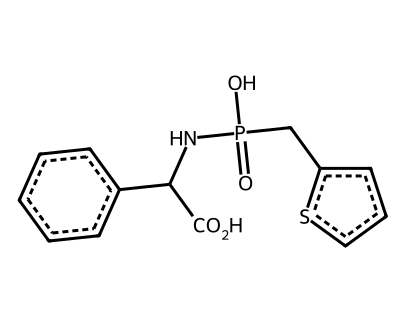 O=C(O)C(NP(=O)(O)Cc1cccs1)c1ccccc1